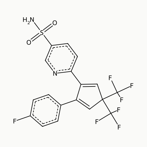 NS(=O)(=O)c1ccc(C2=CC(C(F)(F)F)(C(F)(F)F)C=C2c2ccc(F)cc2)nc1